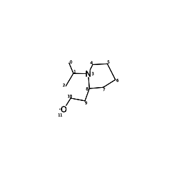 CC(C)N1CCCCC1CC[O]